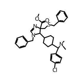 COC(=O)C1(CSCc2ccccc2)N=CN(Cc2ccccc2)C1C1CCC(C(c2ccc(Cl)cc2)N(C)C)CC1